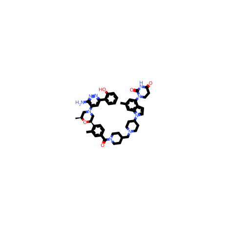 Cc1cc(N2CCC(=O)NC2=O)c2ccn(C3CCN(CC4CCN(C(=O)c5ccc([C@@H]6CN(c7cc(-c8ccccc8O)nnc7N)C[C@H](C)O6)c(C)c5)CC4)CC3)c2c1